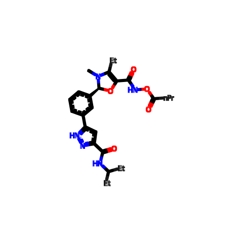 CCCC(=O)ONC(=O)C1=C(CC)N(C)[C@H](c2cccc(-c3cc(C(=O)NC(CC)CC)n[nH]3)c2)O1